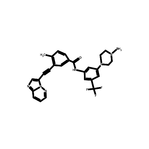 BN1CCN(c2cc(NC(=O)c3ccc(C)c(C#Cc4cnc5cccnn45)c3)cc(C(F)(F)F)c2)CC1